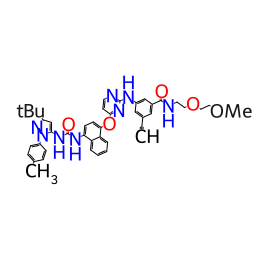 C#Cc1cc(Nc2nccc(Oc3ccc(NC(=O)Nc4cc(C(C)(C)C)nn4-c4ccc(C)cc4)c4ccccc34)n2)cc(C(=O)NCCOCCOC)c1